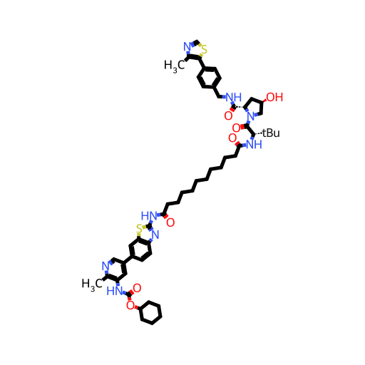 Cc1ncc(-c2ccc3nc(NC(=O)CCCCCCCCCCC(=O)N[C@H](C(=O)N4C[C@H](O)C[C@H]4C(=O)NCc4ccc(-c5scnc5C)cc4)C(C)(C)C)sc3c2)cc1NC(=O)OC1CCCCC1